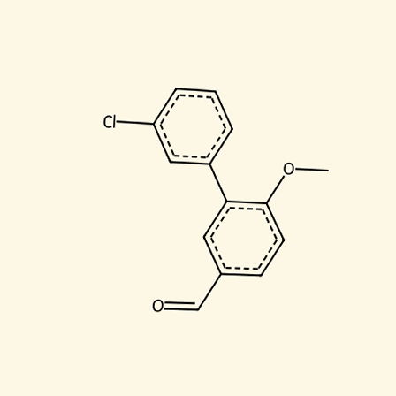 COc1ccc(C=O)cc1-c1cccc(Cl)c1